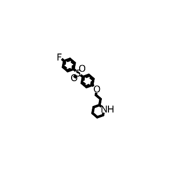 O=S(=O)(c1ccc(F)cc1)c1ccc(OCCC2CCCCN2)cc1